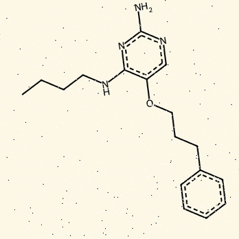 CCCCNc1nc(N)ncc1OCCCc1ccccc1